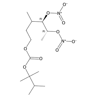 CC(CCOC(=O)OC(C)(C)C(C)C)[C@@H](O[N+](=O)[O-])[C@@H](C)O[N+](=O)[O-]